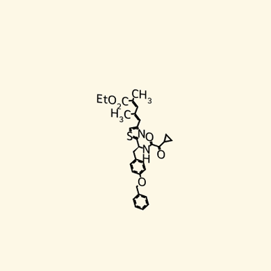 CCOC(=O)/C(C)=C\C(C)=C\c1csc([C@H](Cc2ccc(OCc3ccccc3)cc2)NC(=O)C(=O)C2CC2)n1